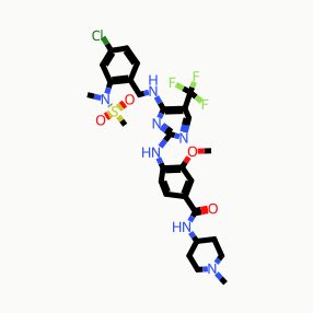 COc1cc(C(=O)NC2CCN(C)CC2)ccc1Nc1ncc(C(F)(F)F)c(NCc2ccc(Cl)cc2N(C)S(C)(=O)=O)n1